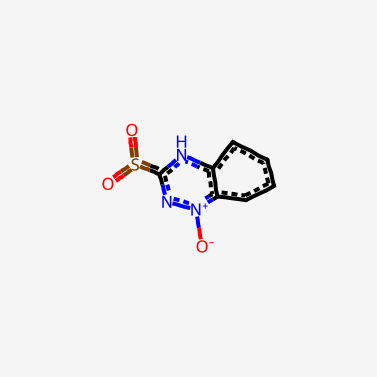 O=S(=O)=c1n[n+]([O-])c2ccccc2[nH]1